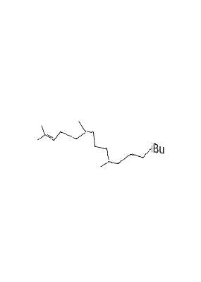 CCC(C)CCCC(C)CCCC(C)CCC=C(C)C